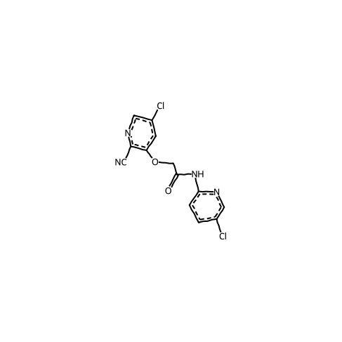 N#Cc1ncc(Cl)cc1OCC(=O)Nc1ccc(Cl)cn1